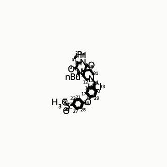 CCCCN1C(=O)[C@H](CC(C)C)NC(=O)C12CCN(Cc1ccc(Oc3ccc([S+](C)[O-])cc3)cc1)CC2.Cl